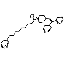 O=C(CCCCCCCCc1cccnc1)N1CCC(C=C(c2ccccc2)c2ccccc2)CC1